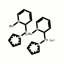 CC(C)(C)N1C=CC=CC1P[c-]1cccc1.CC(C)(C)N1C=CC=CC1P[c-]1cccc1.[Fe+2]